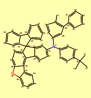 Cc1ccc(N(c2ccc(C(C)(C)C)cc2)c2ccc3c(c2)C2(c4ccccc4-c4ccccc42)c2ccc4oc5ccccc5c4c2-3)cc1-c1ccccc1